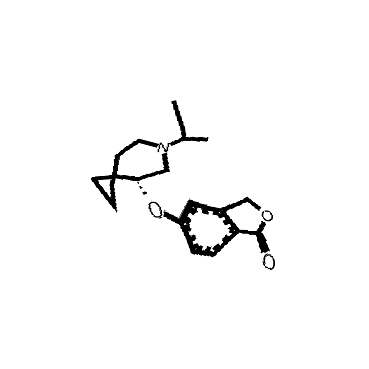 CC(C)N1CCC2(CC2)[C@@H](Oc2ccc3c(c2)COC3=O)C1